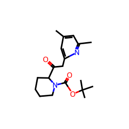 Cc1cc(C)nc(CC(=O)C2CCCCN2C(=O)OC(C)(C)C)c1